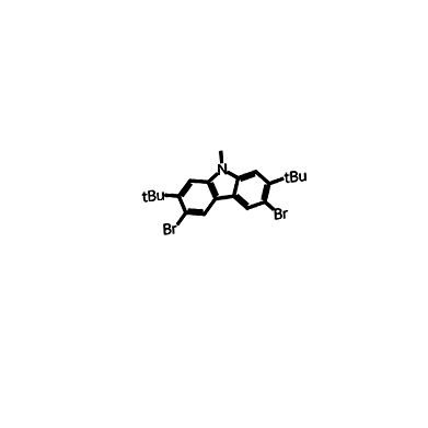 Cn1c2cc(C(C)(C)C)c(Br)cc2c2cc(Br)c(C(C)(C)C)cc21